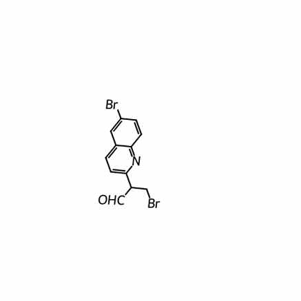 O=CC(CBr)c1ccc2cc(Br)ccc2n1